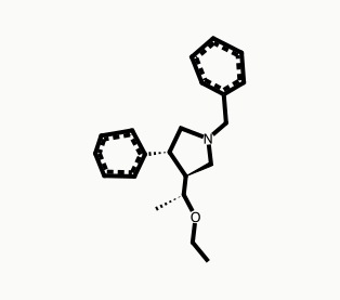 CCO[C@H](C)[C@@H]1CN(Cc2ccccc2)C[C@H]1c1ccccc1